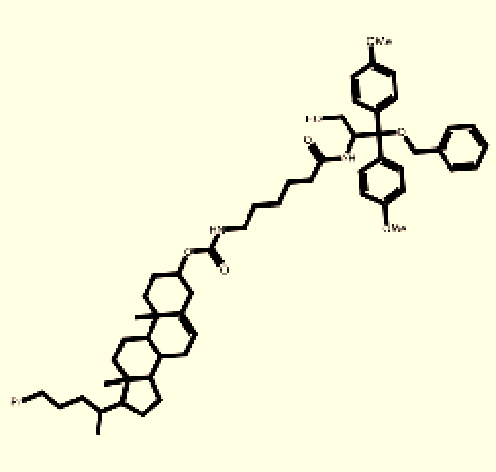 COc1ccc(C(OCc2ccccc2)(c2ccc(OC)cc2)C(CO)NC(=O)CCCCCNC(=O)OC2CCC3(C)C(=CCC4C3CCC3(C)C(C(C)CCCC(C)C)CCC43)C2)cc1